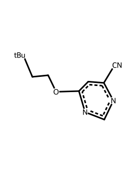 CC(C)(C)CCOc1cc(C#N)ncn1